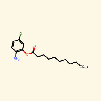 Nc1ccc(Cl)cc1OC(=O)CCCCCCCCC(=O)O